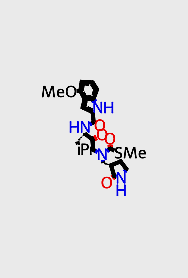 COc1cccc2[nH]c(C(=O)N[C@@H](CC(C)C)C(=O)CN(C[C@@H]3CCNC3=O)C(=O)SC)cc12